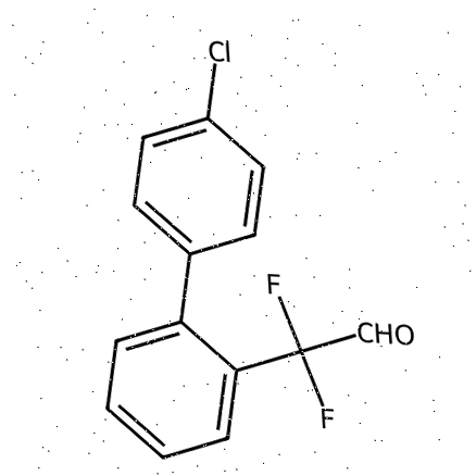 O=CC(F)(F)c1ccccc1-c1ccc(Cl)cc1